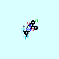 Cn1c(C(=O)NCc2cc(C(F)(F)F)cc(C(F)(F)F)c2)c(-c2ccccc2)c2cc(Cl)ccc2c1=O